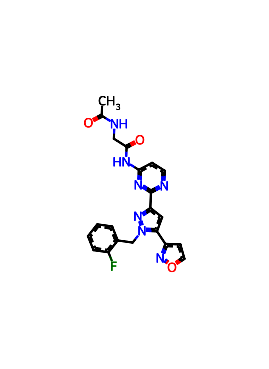 CC(=O)NCC(=O)Nc1ccnc(-c2cc(-c3ccon3)n(Cc3ccccc3F)n2)n1